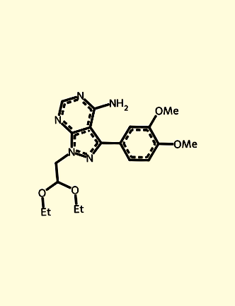 CCOC(Cn1nc(-c2ccc(OC)c(OC)c2)c2c(N)ncnc21)OCC